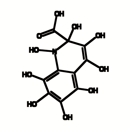 O=C(O)C1(O)C(O)=C(O)c2c(O)c(O)c(O)c(O)c2N1O